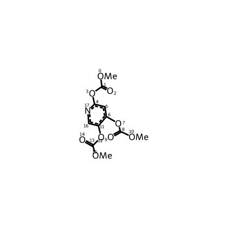 COC(=O)Oc1cc(OC(=O)OC)c(OC(=O)OC)cn1